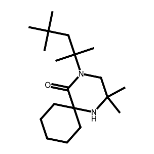 CC(C)(C)CC(C)(C)N1CC(C)(C)NC2(CCCCC2)C1=O